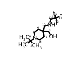 CC(C)(C)N1CCC(CO)(CNCC(F)(F)F)CC1